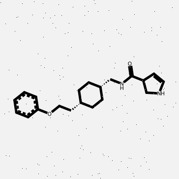 O=C(NC[C@H]1CC[C@@H](CCOc2ccccc2)CC1)C1C=CNC1